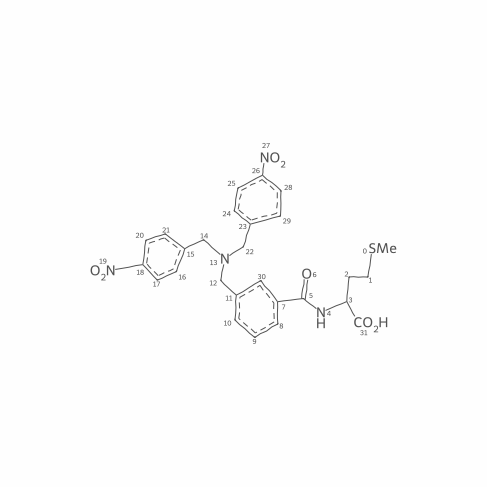 CSCCC(NC(=O)c1cccc(CN(Cc2ccc([N+](=O)[O-])cc2)Cc2ccc([N+](=O)[O-])cc2)c1)C(=O)O